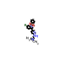 CN(C)CCNc1ccc(-c2cn(S(=O)(=O)c3ccccc3)c3cc(F)ccc23)cn1